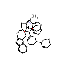 C/C1=C(/N(C2=CCCCC2)C2CCc3sc4ccccc4c3C2)CCCN(C2=CCCC(C3C=CCNC3)C2)C2CC=CC=C12